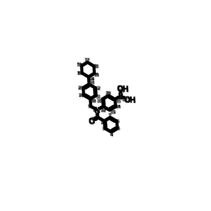 O=C(c1ccccc1)N(Cc1ccc(C2CCCCC2)cc1)c1ccc(B(O)O)cc1